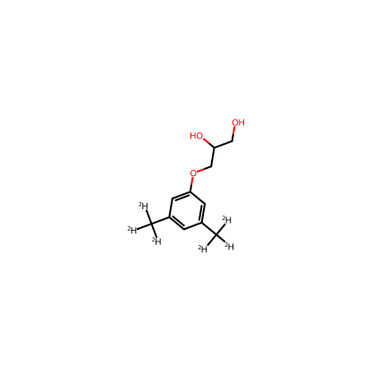 [2H]C([2H])([2H])c1cc(OCC(O)CO)cc(C([2H])([2H])[2H])c1